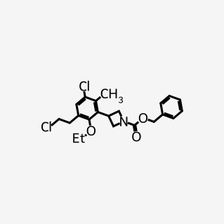 CCOc1c(CCCl)cc(Cl)c(C)c1C1CN(C(=O)OCc2ccccc2)C1